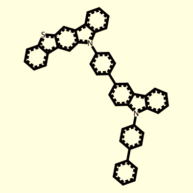 c1ccc(-c2ccc(-n3c4ccccc4c4cc(-c5ccc(-n6c7ccccc7c7cc8sc9ccccc9c8cc76)cc5)ccc43)cc2)cc1